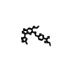 CCNC(=O)c1ccc(COc2nn3c(-c4cc(C)on4)nnc3cc2OCC)nc1